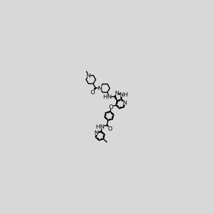 Cc1ccnc(NC(=O)c2ccc(Oc3ccnc4[nH]nc(NC5CCCN(C(=O)C6CCN(C)CC6)C5)c34)cc2)c1